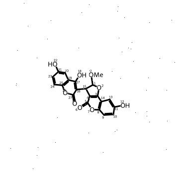 COC1Oc2c(c(=O)oc3ccc(O)cc23)C1c1c(O)c2cc(O)ccc2oc1=O